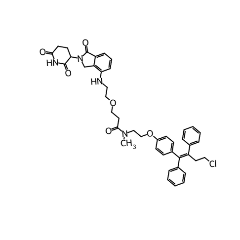 CN(CCOc1ccc(C(=C(CCCl)c2ccccc2)c2ccccc2)cc1)C(=O)CCOCCNc1cccc2c1CN(C1CCC(=O)NC1=O)C2=O